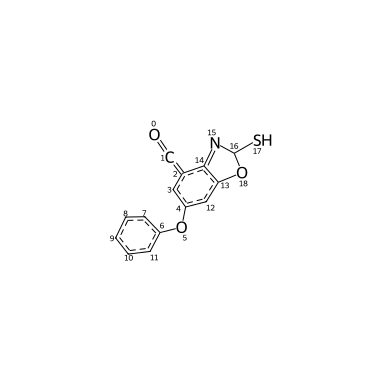 O=C=c1cc(Oc2ccccc2)cc2c1=NC(S)O2